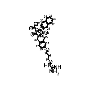 N=C(N)NOCCCOc1ccc2c(c1)CN(S(=O)(=O)c1ccc3ccccc3c1)[C@H](C(=O)OC(=O)C(F)(F)F)C2